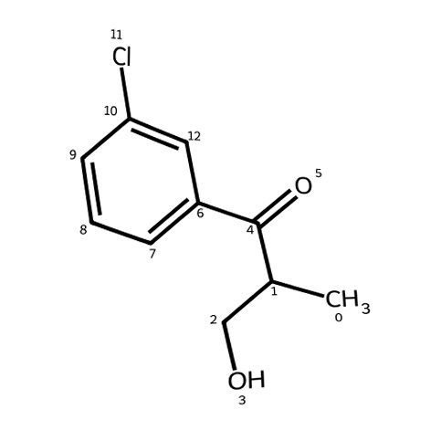 CC(CO)C(=O)c1cccc(Cl)c1